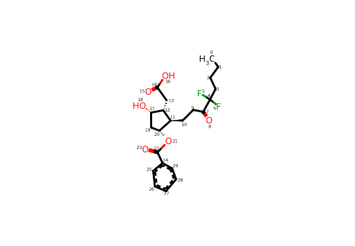 CCCCC(F)(F)C(=O)CC[C@@H]1[C@@H](CC(=O)O)[C@@H](O)C[C@H]1OC(=O)c1ccccc1